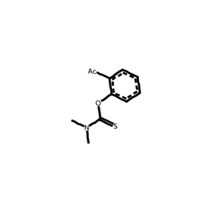 CC(=O)c1ccccc1OC(=S)N(C)C